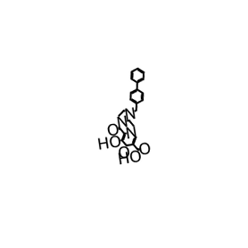 O=C(O)c1cn2c(c(O)c1=O)C(=O)N1CCN(Cc3ccc(-c4ccccc4)cc3)C1C2